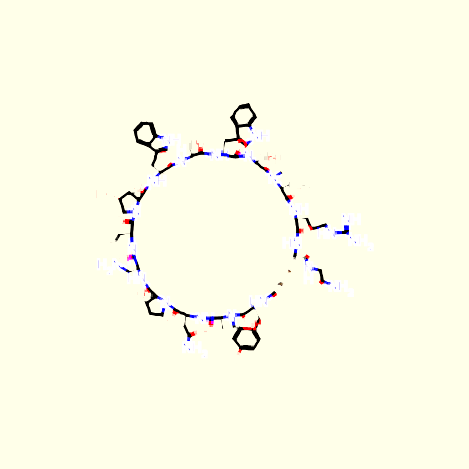 CCCC[C@H]1C(=O)N(C)[C@@H](CCCC)C(=O)N[C@@H](CCCNC(=N)N)C(=O)N[C@H](C(=O)NCC(N)=O)CSCC(=O)N[C@@H](Cc2ccc(O)cc2)C(O)N(C)[C@@H](C)C(=O)N[C@@H](CC(N)=O)C(=O)N2CCC[C@H]2C(=O)N[C@@H](CN)C(=O)N[C@@H](CC(C)C)C(=O)N2C[C@H](O)C[C@H]2C(=O)N[C@@H](Cc2c[nH]c3ccccc23)C(=O)N[C@@H](C(C)C)C(=O)N[C@@H](Cc2c[nH]c3ccccc23)C(=O)N1C